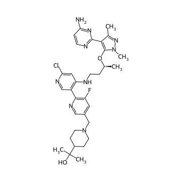 Cc1nn(C)c(O[C@@H](C)CCNc2cc(Cl)ncc2-c2ncc(CN3CCC(C(C)(C)O)CC3)cc2F)c1-c1nccc(N)n1